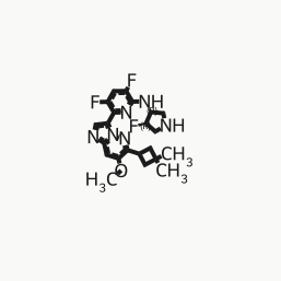 COc1cc2ncc(-c3nc(N[C@@H]4CNC[C@H]4F)c(F)cc3F)n2nc1C1CC(C)(C)C1